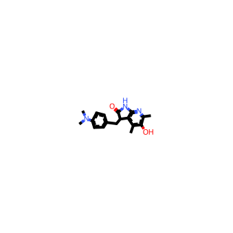 Cc1nc2c(c(C)c1O)C(Cc1ccc(N(C)C)cc1)C(=O)N2